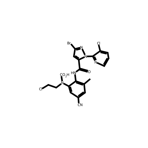 Cc1cc(C#N)cc(N(CCCl)C(=O)O)c1NC(=O)c1cc(Br)nn1-c1ncccc1Cl